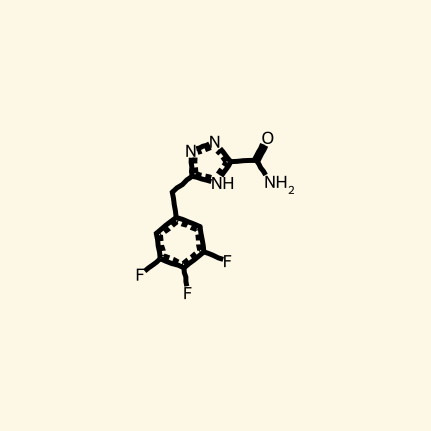 NC(=O)c1nnc(Cc2cc(F)c(F)c(F)c2)[nH]1